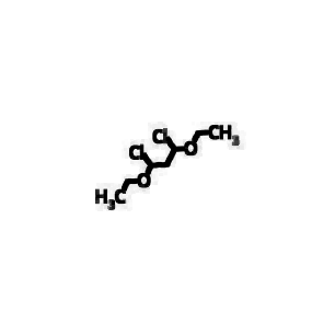 CCOC(Cl)CC(Cl)OCC